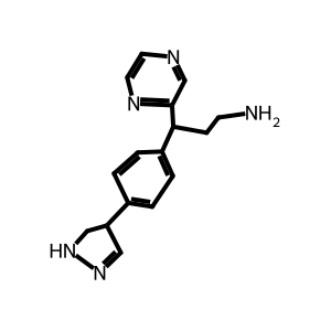 NCCC(c1ccc(C2C=NNC2)cc1)c1cnccn1